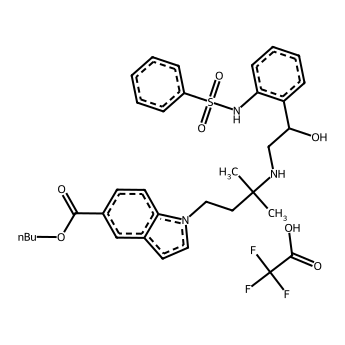 CCCCOC(=O)c1ccc2c(ccn2CCC(C)(C)NCC(O)c2ccccc2NS(=O)(=O)c2ccccc2)c1.O=C(O)C(F)(F)F